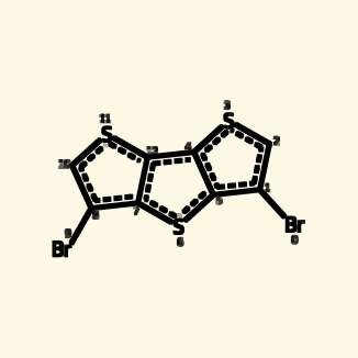 Brc1csc2c1sc1c(Br)csc12